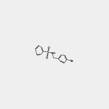 O=S(=O)(NCc1ccc(Br)cc1)c1ccccc1